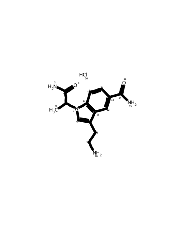 CC(C(N)=O)n1cc(CCN)c2cc(C(N)=O)ccc21.Cl